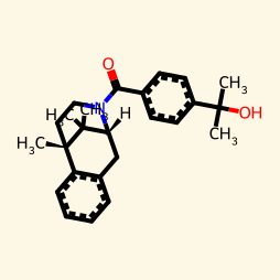 CC(C)(O)c1ccc(C(=O)N2CC[C@@]3(C)c4ccccc4C[C@@H]2C3(C)C)cc1